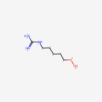 N=C(N)NCCCCCOO